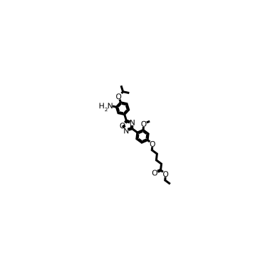 CCOC(=O)CCCCOc1ccc(-c2noc(-c3ccc(OC(C)C)c(N)c3)n2)c(OC)c1